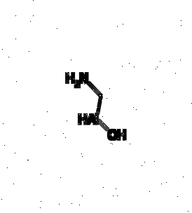 N[CH2][AlH][OH]